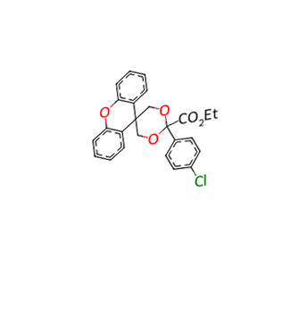 CCOC(=O)C1(c2ccc(Cl)cc2)OCC2(CO1)c1ccccc1Oc1ccccc12